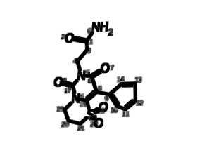 NC(=O)CCn1c(=O)c(-c2ccccc2)c2n(c1=O)CCCS2(=O)=O